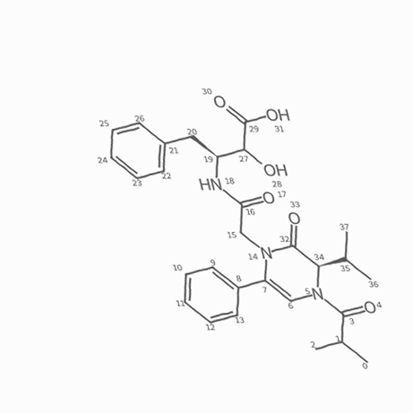 CC(C)C(=O)N1C=C(c2ccccc2)N(CC(=O)N[C@@H](Cc2ccccc2)C(O)C(=O)O)C(=O)[C@H]1C(C)C